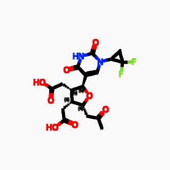 CC(=O)C[C@H]1O[C@H](c2cn(C3CC3(F)F)c(=O)[nH]c2=O)[C@@H](CC(=O)O)[C@H]1CC(=O)O